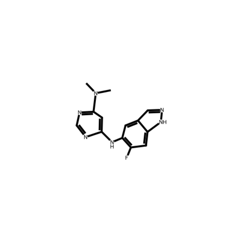 CN(C)c1cc(Nc2cc3cn[nH]c3cc2F)ncn1